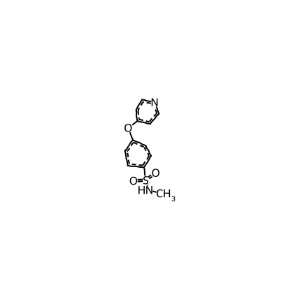 CNS(=O)(=O)c1ccc(Oc2ccncc2)cc1